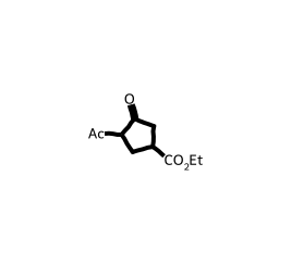 CCOC(=O)C1CC(=O)C(C(C)=O)C1